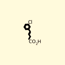 O=C(O)CC/C=C/c1cccc(Cl)c1